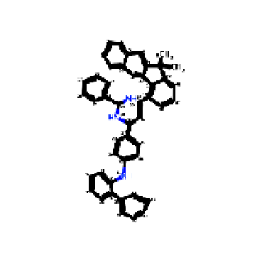 CC1(C)c2cc3ccccc3cc2-c2c(/C=C/C(NC(N)c3ccccc3)c3ccc(Nc4ccccc4-c4ccccc4)cc3)cccc21